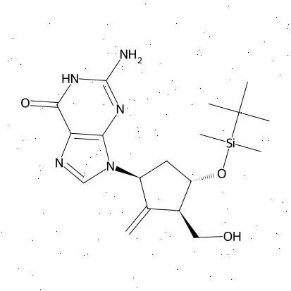 C=C1[C@H](CO)[C@@H](O[Si](C)(C)C(C)(C)C)C[C@@H]1n1cnc2c(=O)[nH]c(N)nc21